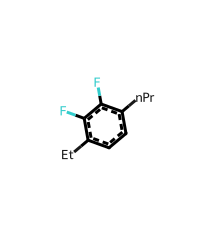 CCCc1ccc(CC)c(F)c1F